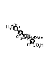 COc1cc(C(=O)O)c(Cl)cc1NS(=O)(=O)c1csc(-c2ccc(C3CCC(C)(C)CC3)cc2C(F)(F)F)n1